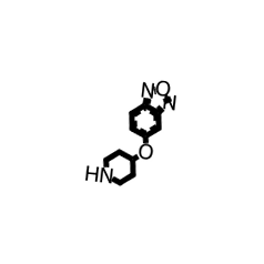 c1cc2nonc2cc1OC1CCNCC1